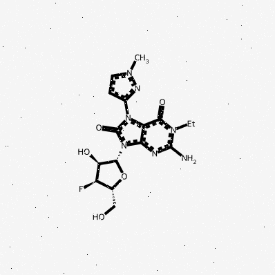 CCn1c(N)nc2c(c1=O)n(-c1ccn(C)n1)c(=O)n2[C@@H]1O[C@H](CO)[C@@H](F)[C@H]1O